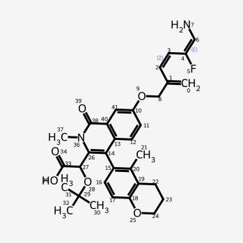 C=C(/C=C\C(F)=C/N)COc1ccc2c(-c3ccc4c(c3C)CCCO4)c(C(OC(C)(C)C)C(=O)O)n(C)c(=O)c2c1